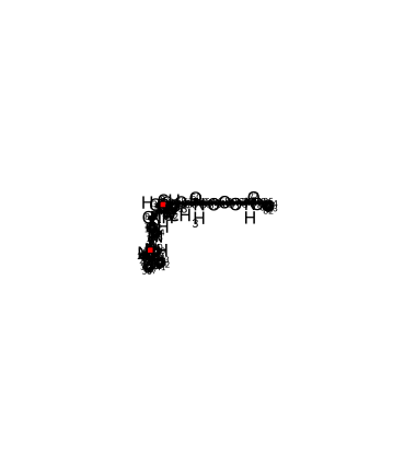 COC(=O)C(CNC(=O)c1ccc2c(cnn2CCCNc2nccn2C(c2ccccc2)(c2ccccc2)c2ccccc2)c1)NS(=O)(=O)c1c(C)cc(OCCCC(=O)NCCCOCCOCCOCCCNC(=O)OCc2ccccc2)cc1C